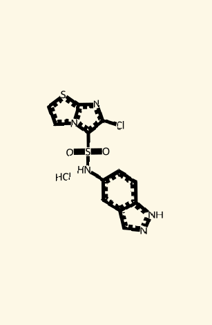 Cl.O=S(=O)(Nc1ccc2[nH]ncc2c1)c1c(Cl)nc2sccn12